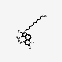 CCc1c(C)c2c3c(C(F)(F)F)cc(=O)[nH]c3ccc2n1CCCCCCCCCO